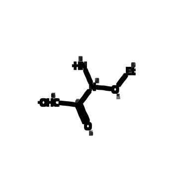 CCON([NH])C(=O)[C]=O